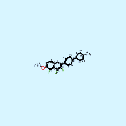 CCCCOc1ccc2cc(-c3ccc(C4CCC(CCC)CC4)cc3)c(F)c(F)c2c1F